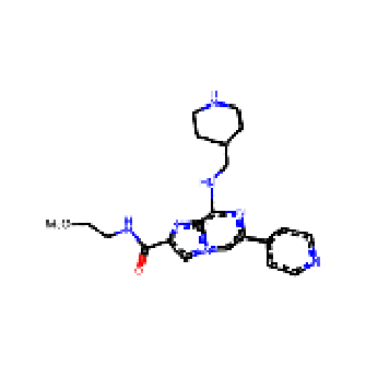 COCCNC(=O)c1cn2cc(-c3ccncc3)nc(NCC3CCNCC3)c2n1